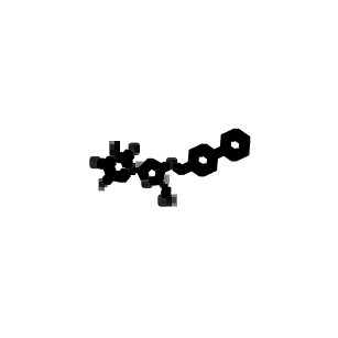 O=c1[nH]c(=O)n([C@@H]2CC(OCc3ccc(-c4ccccc4)cc3)[C@H](CO)O2)cc1F